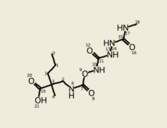 CCCC(C)(CNC(=O)ONC(=O)NNC(=O)NC)C(=O)O